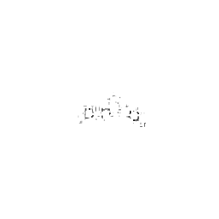 N#CC(NC(=O)[C@@H]1CCCN1C(=O)Cc1ccc(Br)cc1)c1ccc2c(c1)OCO2